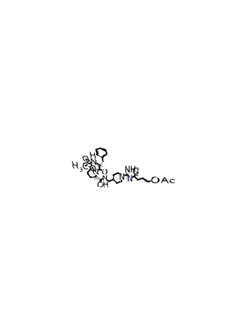 CC(=O)OCCCC(=O)/N=C(\N)N1CCC(CNC(=O)[C@@H]2CCCN2C(=O)[C@@H](Cc2ccccc2)NS(C)(=O)=O)CC1